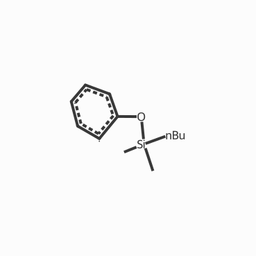 CCCC[Si](C)(C)Oc1[c]cccc1